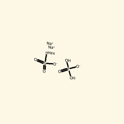 CCCCCCS(=O)(=O)[O-].O=P([O-])(O)O.[Na+].[Na+]